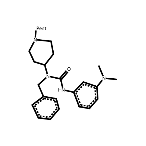 CCCC(C)N1CCC(N(Cc2ccccc2)C(=O)Nc2cccc(N(C)C)c2)CC1